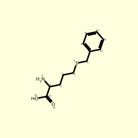 NC(CCCSCc1ccccc1)C(=O)O